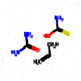 C=CC(=O)O.NC(N)=O.NC(O)=S